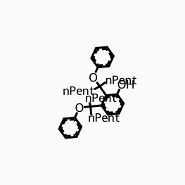 CCCCCC(CCCCC)(Oc1ccccc1)c1cccc(O)c1C(CCCCC)(CCCCC)Oc1ccccc1